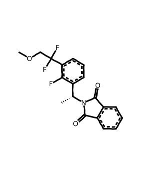 COCC(F)(F)c1cccc([C@@H](C)N2C(=O)c3ccccc3C2=O)c1F